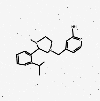 CC(C)c1ccccc1C1CN(Cc2ccnc(N)c2)CCN1C